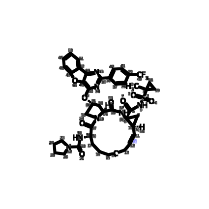 CC1(S(=O)(=O)NC(=O)[C@@]23C[C@H]2/C=C\CCCCC[C@H](NC(=O)N2CCCC2)C(=O)N2C[C@H](Oc4nc(-c5ccc(C(F)(F)F)cc5)nc5c4oc4ccccc45)C[C@H]2C(=O)N3)CC1